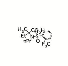 CCCN(C(C)(CC)C(=O)O)S(=O)(=O)c1ccccc1C(F)(F)F